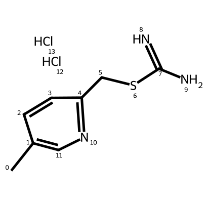 Cc1ccc(CSC(=N)N)nc1.Cl.Cl